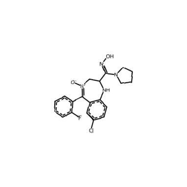 [O-][N+]1=C(c2ccccc2F)c2cc(Cl)ccc2NC(C(=NO)N2CCCC2)C1